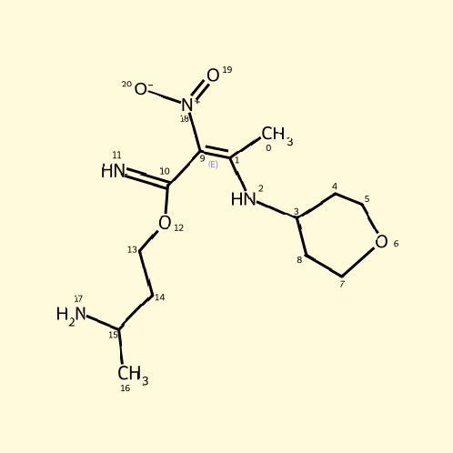 C/C(NC1CCOCC1)=C(/C(=N)OCCC(C)N)[N+](=O)[O-]